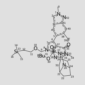 Cn1cc2cc(-c3cn(COCC[Si](C)(C)C)c4nc(N5C6CCC5CC(NC(=O)OC(C)(C)C)C6)n(C)c(=O)c34)c(F)cc2n1